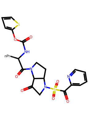 CCCC(NC(=O)Oc1cccs1)C(=O)N1CCC2C1C(=O)CN2S(=O)(=O)C(=O)c1ccccn1